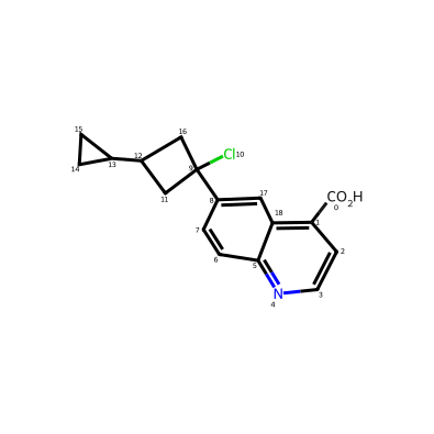 O=C(O)c1ccnc2ccc(C3(Cl)CC(C4CC4)C3)cc12